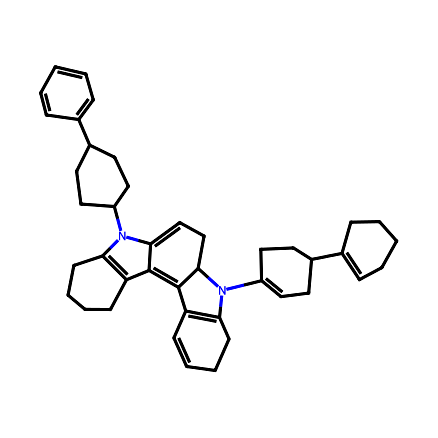 C1=CC2=C(CC1)N(C1=CCC(C3=CCCCC3)CC1)C1CC=c3c(c4c(n3C3CCC(c5ccccc5)CC3)CCCC4)=C21